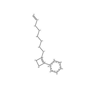 C=CCCCCCCC1=C(c2ccccc2)CC1